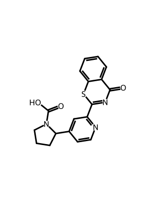 O=C(O)N1CCCC1c1ccnc(-c2nc(=O)c3ccccc3s2)c1